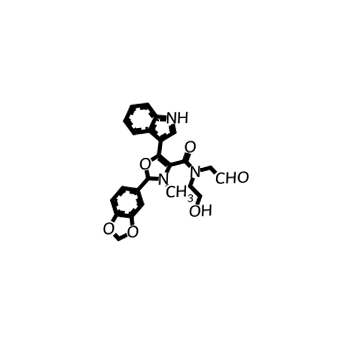 CN1C(C(=O)N(CC=O)CCO)=C(c2c[nH]c3ccccc23)OC1c1ccc2c(c1)OCO2